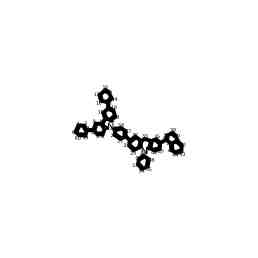 c1ccc(-c2ccc3c(c2)c2cc(-c4ccccc4)ccc2n3-c2ccc(-c3ccc4c(c3)Cc3cc(-c5cccc6ccccc56)ccc3N4c3ccccc3)cc2)cc1